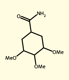 COC1CC(C(N)=O)CC(OC)C1OC